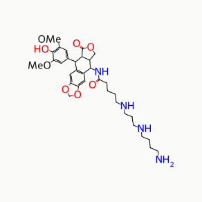 COc1cc(C2c3cc4c(cc3C(NC(=O)CCCCNCCCNCCCCN)C3COC(=O)C23)OCO4)cc(OC)c1O